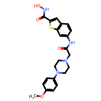 COc1ccc(N2CCN(CC(=O)Nc3ccc4cc(C(=O)NO)sc4c3)CC2)cc1